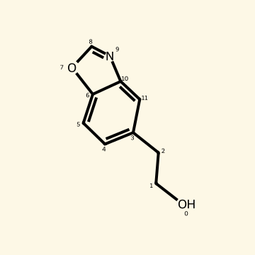 OCCc1ccc2ocnc2c1